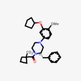 COc1ccc(N2CCN(C(=O)C3(C(=O)O)CCC3)[C@@H](Cc3ccccc3)C2)cc1OC1CCCC1